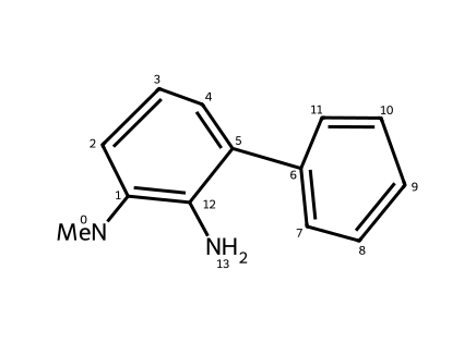 CNc1cccc(-c2ccccc2)c1N